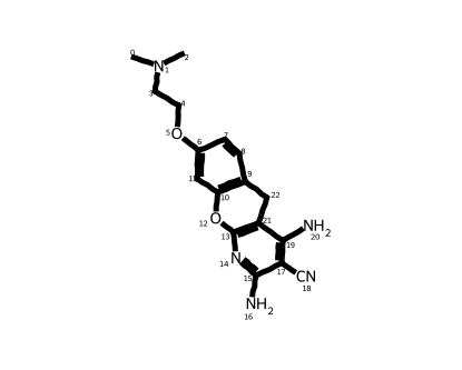 CN(C)CCOc1ccc2c(c1)Oc1nc(N)c(C#N)c(N)c1C2